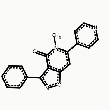 Cn1c(-c2ccncc2)cc2onc(-c3ccccc3)c2c1=O